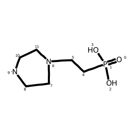 O=P(O)(O)CCN1CC[N]CC1